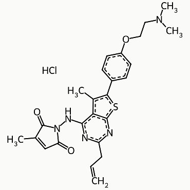 C=CCc1nc(NN2C(=O)C=C(C)C2=O)c2c(C)c(-c3ccc(OCCN(C)C)cc3)sc2n1.Cl